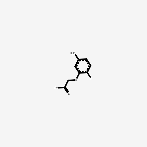 Bc1ccc(F)c(OCC(=O)CC)c1